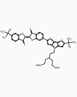 CCCCCCCCCCCCC(CCCCCCCCCCCC)CCn1c2cc(-c3ccc4c(c3)S/C(=C3/Sc5cc(C(C)(C)CC)ccc5C3=S)C4=S)sc2c2sc(C(C)(C)CC)cc21